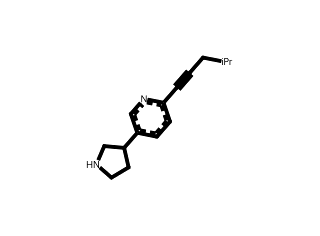 CC(C)CC#Cc1ccc(C2CCNC2)cn1